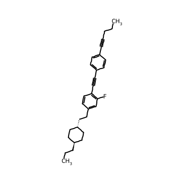 CCCC#Cc1ccc(C#Cc2ccc(CC[C@H]3CC[C@H](CCC)CC3)cc2F)cc1